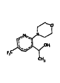 CC(O)c1cc(C(F)(F)F)cnc1N1CCOCC1